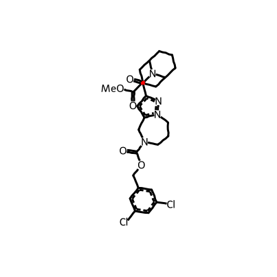 COC(=O)C1CC2CCCC(C1)N2C(=O)c1cc2n(n1)CCCN(C(=O)OCc1cc(Cl)cc(Cl)c1)C2